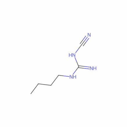 CCCCNC(=N)NC#N